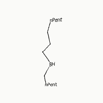 CCCCCCBCCCCCCCC